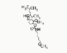 COCCCCCCNC(=O)OC1CC[C@]2(CO2)C(C(C)[C@H](O)CC=C(C)C)C1OC